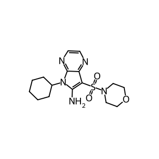 Nc1c(S(=O)(=O)N2CCOCC2)c2nccnc2n1C1CCCCC1